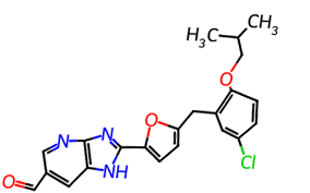 CC(C)COc1ccc(Cl)cc1Cc1ccc(-c2nc3ncc(C=O)cc3[nH]2)o1